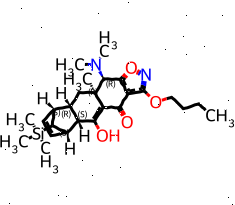 CCCCOc1noc2c1C(=O)C1=C(O)[C@H]3[C@@H](C[C@@]1(C)[C@H]2N(C)C)[C@H]1C=C[C@@H]3C1[Si](C)(C)C